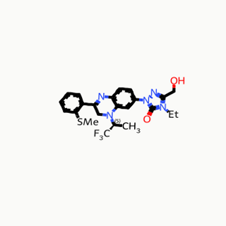 CCn1c(CO)nn(-c2ccc3c(c2)N([C@@H](C)C(F)(F)F)CC(c2ccccc2SC)=N3)c1=O